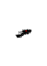 C=C(C(=O)N1CCCC1c1nc(-c2ccc(C(=O)Nc3cc(C)ccn3)cc2)c(C(N)=O)n1N)c1ccccc1